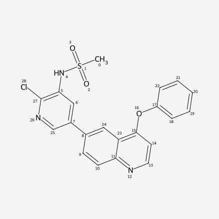 CS(=O)(=O)Nc1cc(-c2ccc3nccc(Oc4ccccc4)c3c2)cnc1Cl